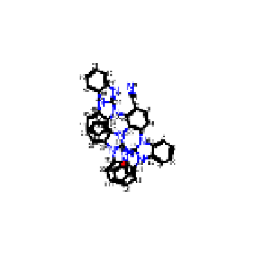 N#Cc1ccc(-n2c3ccccc3n3c4ccccc4nc23)c(-n2c3ccccc3n3c4ccccc4nc23)c1-n1c2ccccc2n2c3ccccc3nc12